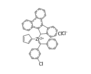 Clc1cccc(/[C](c2ccccc2)=[Zr+2](\[C]2=CC=CC2)[CH]2c3ccccc3-c3c2c2ccccc2c2ccccc32)c1.[Cl-].[Cl-]